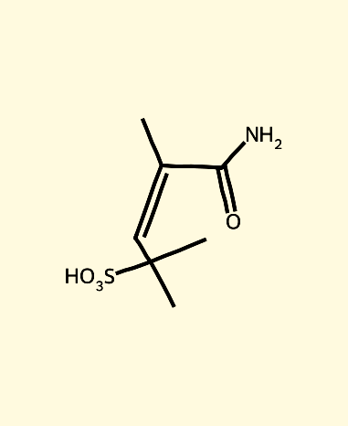 CC(=CC(C)(C)S(=O)(=O)O)C(N)=O